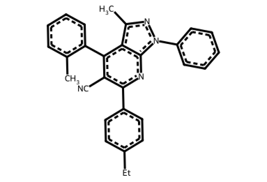 CCc1ccc(-c2nc3c(c(C)nn3-c3ccccc3)c(-c3ccccc3C)c2C#N)cc1